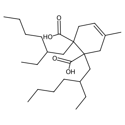 CCCCC(CC)CC1(C(=O)O)CC=C(C)CC1(CC(CC)CCCC)C(=O)O